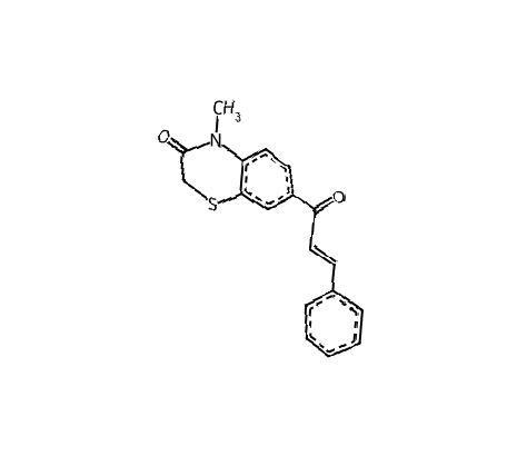 CN1C(=O)CSc2cc(C(=O)C=Cc3ccccc3)ccc21